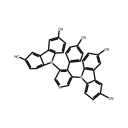 N#Cc1ccc(-c2c(-n3c4ccc(C#N)cc4c4cc(C#N)ccc43)cncc2-n2c3ccc(C#N)cc3c3cc(C#N)ccc32)cc1